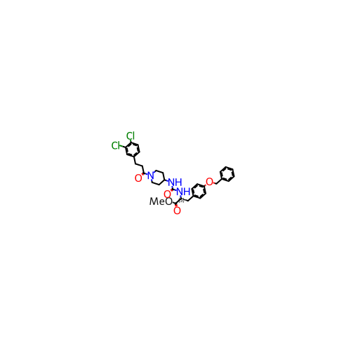 COC(=O)[C@H](Cc1ccc(OCc2ccccc2)cc1)NC(=O)NC1CCN(C(=O)CCc2ccc(Cl)c(Cl)c2)CC1